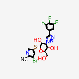 N#Cc1ncc(S[C@H]2O[C@H](CO)[C@H](O)[C@H](n3cc(-c4cc(F)c(F)c(F)c4)nn3)[C@H]2O)cc1Br